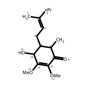 CCC/C(C)=C/CC1C(C)C(=O)C(OC)=C(OC)C1O